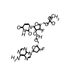 CO[PH](=O)OC[C@H]1O[C@@H](n2ccc(=O)[nH]c2=O)[C@H](OPOC[C@H]2O[C@@H](n3cnc4c(N)ncnc43)C[C@@H]2F)[C@@H]1F